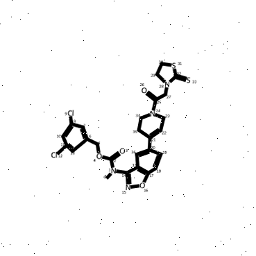 CN(C(=O)OCc1cc(Cl)cc(Cl)c1)c1noc2ccc(C3=CCN(C(=O)CN4CCSC4=S)CC3)cc12